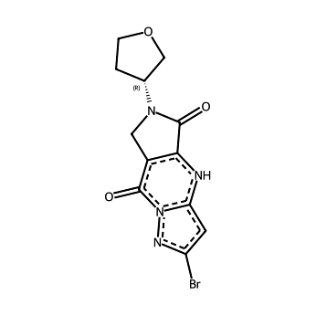 O=C1c2[nH]c3cc(Br)nn3c(=O)c2CN1[C@@H]1CCOC1